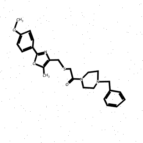 COc1ccc(-c2nc(CSCC(=O)N3CCN(Cc4ccccc4)CC3)c(C)o2)cc1